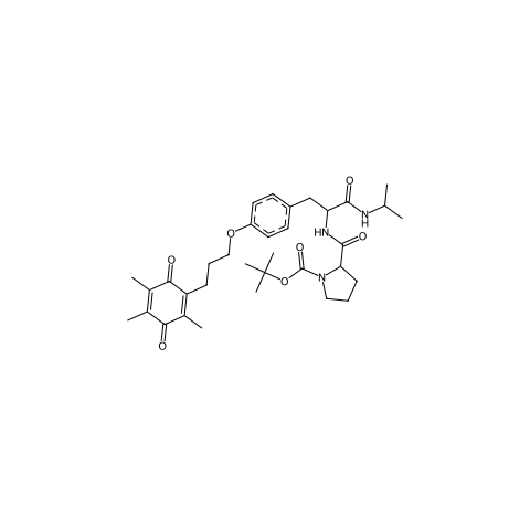 CC1=C(C)C(=O)C(CCCOc2ccc(CC(NC(=O)C3CCCN3C(=O)OC(C)(C)C)C(=O)NC(C)C)cc2)=C(C)C1=O